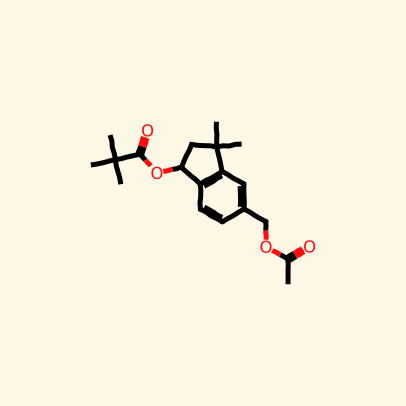 CC(=O)OCc1ccc2c(c1)C(C)(C)CC2OC(=O)C(C)(C)C